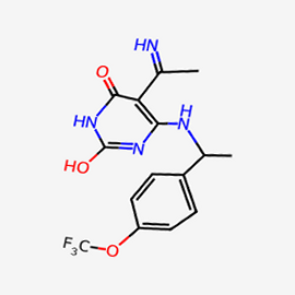 CC(=N)c1c(NC(C)c2ccc(OC(F)(F)F)cc2)nc(O)[nH]c1=O